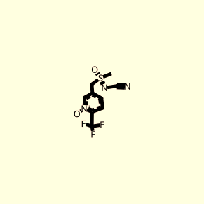 CS(=O)(Cc1ccc(C(F)(F)F)[n+]([O-])c1)=NC#N